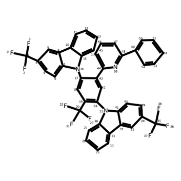 FC(F)(F)c1ccc2c(c1)c1ccccc1n2-c1cc(C(F)(F)F)c(-n2c3ccccc3c3cc(C(F)(F)F)ccc32)cc1-c1cccc(-c2ccccc2)n1